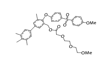 COCCOCCOCC(=O)OCc1cc(-c2cc(C)c(C)c(C)c2)cc(C)c1Oc1ccc(S(=O)(=O)c2ccc(OC)cc2)cc1